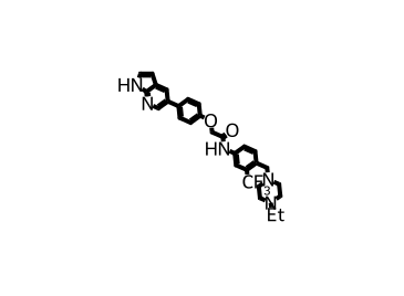 CCN1CCN(Cc2ccc(NC(=O)COc3ccc(-c4cnc5[nH]ccc5c4)cc3)cc2C(F)(F)F)CC1